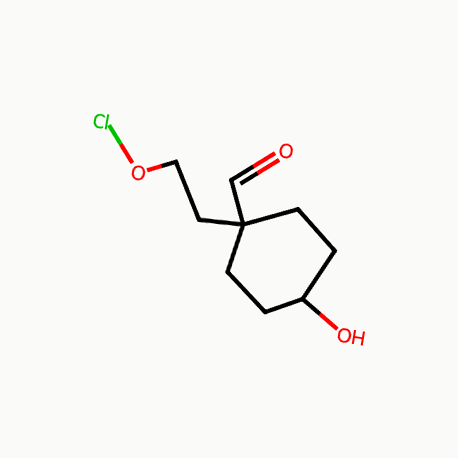 O=CC1(CCOCl)CCC(O)CC1